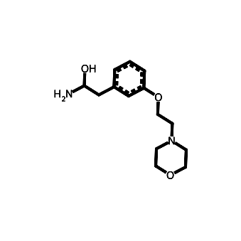 NC(O)Cc1cccc(OCCN2CCOCC2)c1